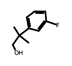 CC(C)(CO)c1c[c]cc(F)c1